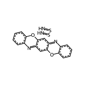 N=S.N=S.c1ccc2c(c1)N=c1cc3c(cc1O2)=Nc1ccccc1O3